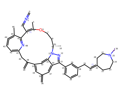 C=[N+]=C/C1=C(\C)OCC[C@H](C)n2nc(-c3cccc(C/C=C4/CCCN(I)CC4)c3)c3c2=CC(=CC(=C)C=3)C(=C)CC2=CC=C=C(C)C1=N2